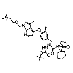 Cc1cn(COCC[Si](C)(C)C)c2nccc(Oc3ccc(C[C@H](NC(=O)OC(C)(C)C)C(=O)NC4(C(=O)O)CCCCC4)cc3F)c12